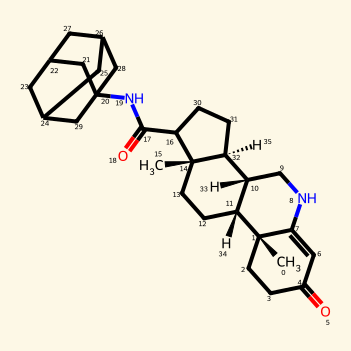 C[C@]12CCC(=O)C=C1NC[C@@H]1[C@H]2CC[C@]2(C)C(C(=O)NC34CC5CC(CC(C5)C3)C4)CC[C@@H]12